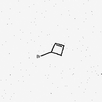 BrC1C=CC1